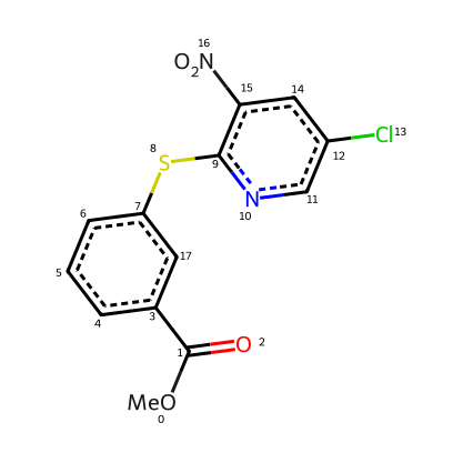 COC(=O)c1cccc(Sc2ncc(Cl)cc2[N+](=O)[O-])c1